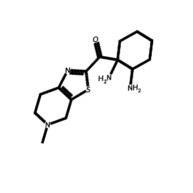 CN1CCc2nc(C(=O)C3(N)CCCCC3N)sc2C1